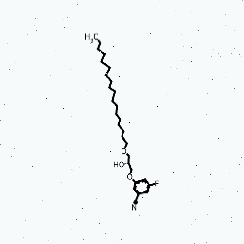 CCCCCCCCCCCCCCCCCCOC[C@@H](O)COc1cc(F)cc(C#N)c1